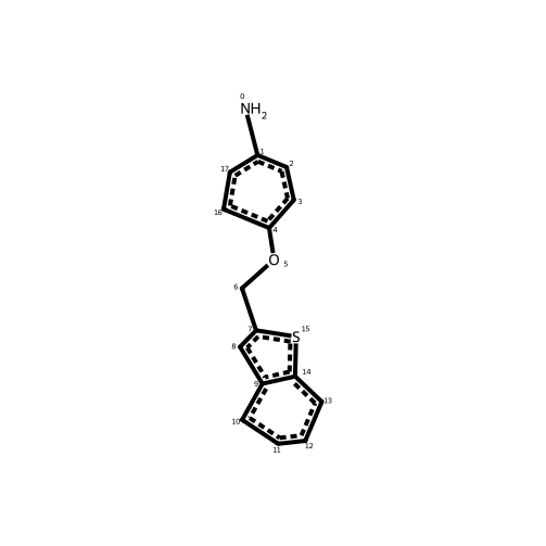 Nc1ccc(OCc2cc3ccccc3s2)cc1